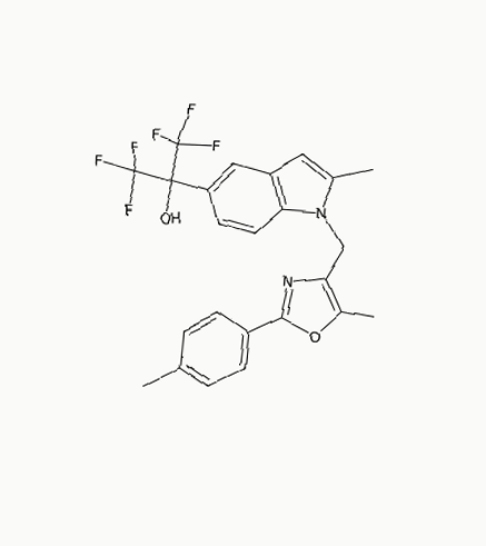 Cc1ccc(-c2nc(Cn3c(C)cc4cc(C(O)(C(F)(F)F)C(F)(F)F)ccc43)c(C)o2)cc1